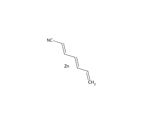 C=CC=CC=CC#N.[Zn]